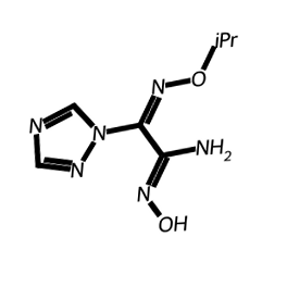 CC(C)ON=C(C(N)=NO)n1cncn1